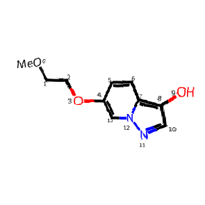 COCCOc1ccc2c(O)cnn2c1